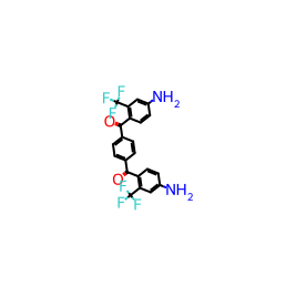 Nc1ccc(C(=O)c2ccc(C(=O)c3ccc(N)cc3C(F)(F)F)cc2)c(C(F)(F)F)c1